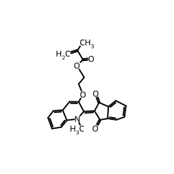 C=C(C)C(=O)OCCOC1=Cc2ccccc2N(C)C1=C1C(=O)c2ccccc2C1=O